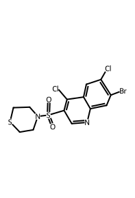 O=S(=O)(c1cnc2cc(Br)c(Cl)cc2c1Cl)N1CCSCC1